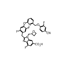 N#Cc1ccc(OCc2cccc(Oc3cc(F)c(Cc4nc5c(F)cc(C(=O)O)cc5n4C[C@@H]4CCO4)cc3F)n2)c(F)c1